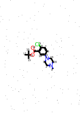 CN1CCN(c2ccc(Cl)c(C(=O)OC(C)(C)C)c2)CC1